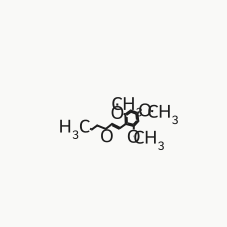 CCCC(=O)C=Cc1c(OC)cc(OC)cc1OC